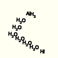 I.O.O.O.O.O.O.[AlH3]